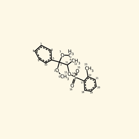 COC(OC)(c1ccccc1)C(C)OS(=O)(=O)c1ccccc1C